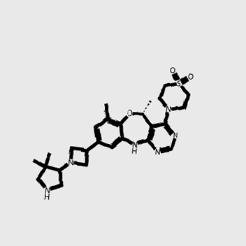 Cc1cc(C2CN(C3CNCC3(C)C)C2)cc2c1O[C@H](C)c1c(ncnc1N1CCS(=O)(=O)CC1)N2